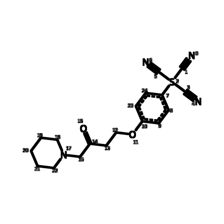 N#CS(C#N)(C#N)c1ccc(OCCC(=O)CN2CCCCC2)cc1